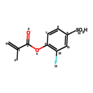 C=C(C)C(=O)Oc1ccc(S(=O)(=O)O)cc1F